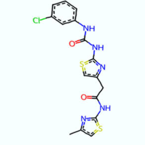 Cc1csc(NC(=O)Cc2csc(NC(=O)Nc3cccc(Cl)c3)n2)n1